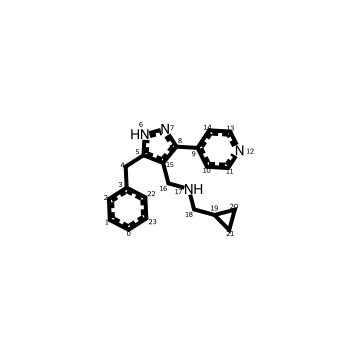 c1ccc(Cc2[nH]nc(-c3ccncc3)c2CNCC2CC2)cc1